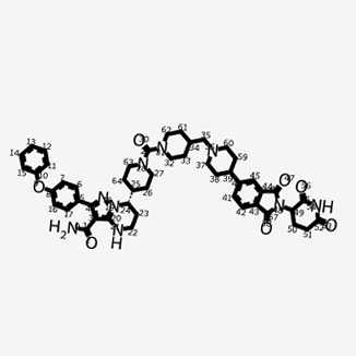 NC(=O)c1c(-c2ccc(Oc3ccccc3)cc2)nn2c1NCC[C@H]2C1CCN(C(=O)N2CCC(CN3CCC(c4ccc5c(c4)C(=O)N(C4CCC(=O)NC4=O)C5=O)CC3)CC2)CC1